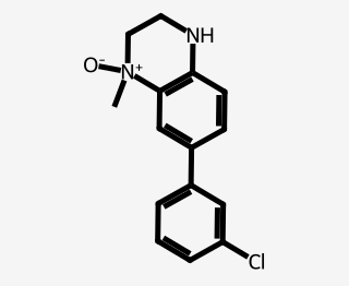 C[N+]1([O-])CCNc2ccc(-c3cccc(Cl)c3)cc21